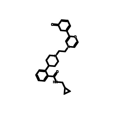 O=C1C=CC=C(C2=CN(CCN3CCC(c4ccccc4C(=O)NCC4CC4)CC3)C=CO2)C1